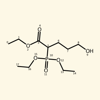 CCOC(=O)C(CCCO)P(=O)(OCC)OCC